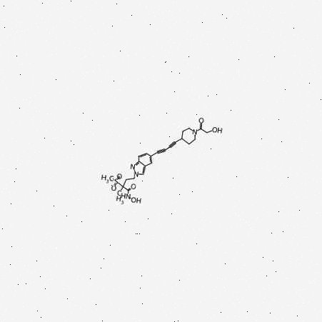 CC(CCn1cc2cc(C#CC#CC3CCN(C(=O)CO)CC3)ccc2n1)(C(=O)NO)S(C)(=O)=O